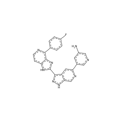 Nc1cncc(-c2cc3c(-c4nc5c(-c6ccc(F)cc6)nccc5[nH]4)n[nH]c3cn2)c1